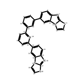 c1cc(-c2ccc3nc4sccn4c3c2)cc(-c2cccc(-c3ccc4nc5sccn5c4c3)n2)c1